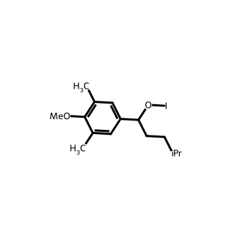 COc1c(C)cc(C(CCC(C)C)OI)cc1C